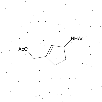 CC(=O)NC1C=C(COC(C)=O)CC1